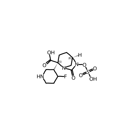 O=C1N(OS(=O)(=O)O)[C@@H]2CC[C@@](C(=O)O)(C3CNCCC3F)N1C2